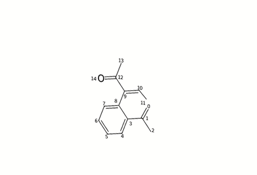 C=C(C)c1ccccc1/C(=C\C)C(C)=O